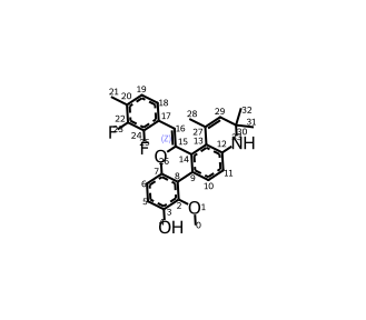 COc1c(O)ccc2c1-c1ccc3c(c1/C(=C/c1ccc(C)c(F)c1F)O2)C(C)=CC(C)(C)N3